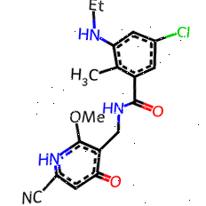 CCNc1cc(Cl)cc(C(=O)NCc2c(OC)[nH]c(C#N)cc2=O)c1C